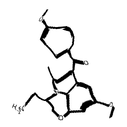 COc1ccc(C(=O)c2c(C)n3c4c(cc(OC)cc24)OCC3CN)cc1